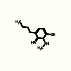 CCCCC1=CC=C(O)C(NC)C1=N